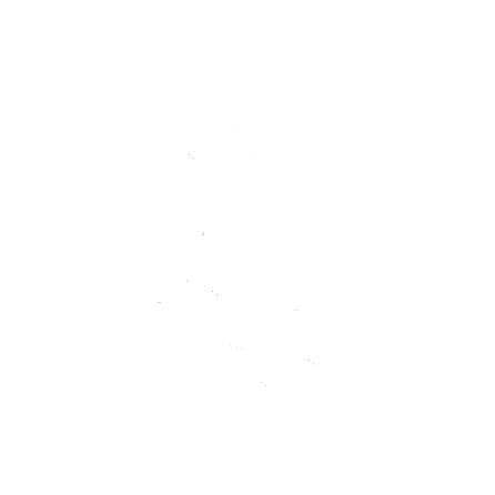 O=C(NC1CCN(Cc2ccccc2)C1)c1nc(-c2c[nH]c3ncccc23)cs1